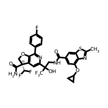 Cc1nc2c(OC3CC3)cc(C(=O)NCC(O)(c3cc4c(c(-c5ccc(F)cc5)n3)OC[C@@]4(C(N)=O)C(F)F)C(F)(F)F)cc2s1